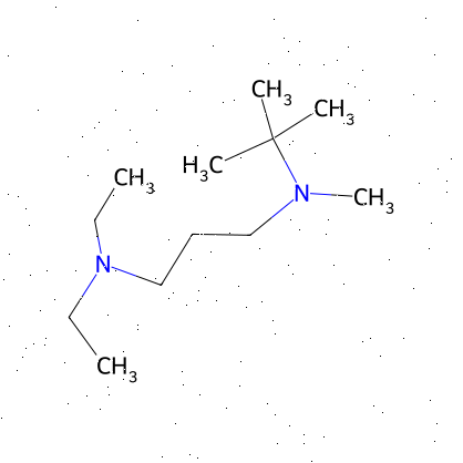 CCN(CC)CCCN(C)C(C)(C)C